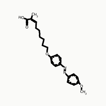 COc1ccc(N=Nc2ccc(OCCCCCCC=C(C)C(=O)O)cc2)cc1